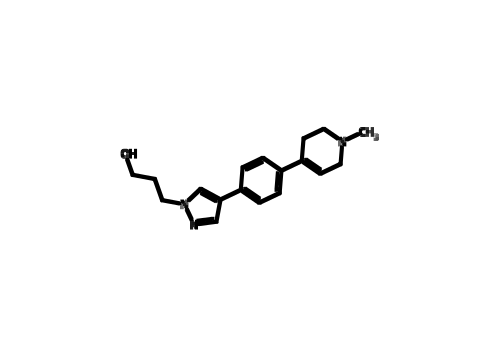 CN1CC=C(c2ccc(-c3cnn(CCCO)c3)cc2)CC1